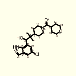 CC(C)(C1CCN(C(=O)C2CCOCC2)CC1)C(O)c1cc(Cl)cc2cn[nH]c12